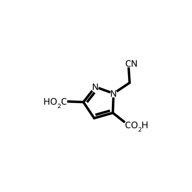 N#CCn1nc(C(=O)O)cc1C(=O)O